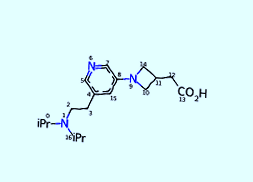 CC(C)N(CCc1cncc(N2CC(CC(=O)O)C2)c1)C(C)C